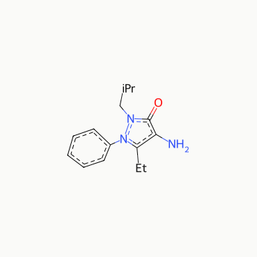 CCc1c(N)c(=O)n(CC(C)C)n1-c1ccccc1